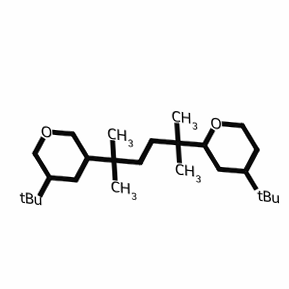 CC(C)(C)C1COCC(C(C)(C)CCC(C)(C)C2CC(C(C)(C)C)CCO2)C1